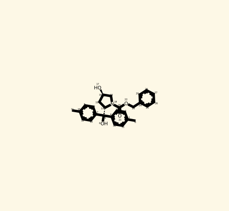 Cc1ccc(C(O)(c2ccc(C)cc2)[C@@H]2C[C@@H](O)CN2C(=O)OCc2ccccc2)cc1